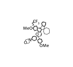 COc1ccc(C2(c3ccc(N4CCOCC4)cc3)C=Cc3c4c(c5cc(SC(F)(F)F)c(OC)cc5c3O2)-c2ccccc2C42CCCCCCC2)cc1